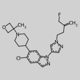 C=C(CF)CCn1cc(-n2ncc3cc(Cl)c(C4CCN(C5(C)COC5)CC4)cc32)cn1